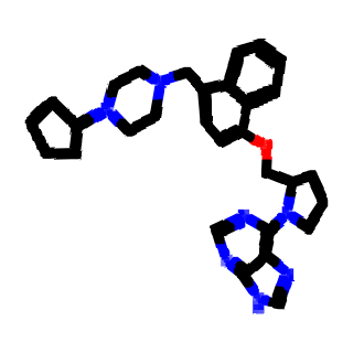 c1ccc2c(OCC3CCCN3c3ncnc4[nH]cnc34)ccc(CN3CCN(C4CCCC4)CC3)c2c1